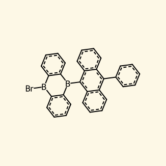 BrB1c2ccccc2B(c2c3ccccc3c(-c3ccccc3)c3ccccc23)c2ccccc21